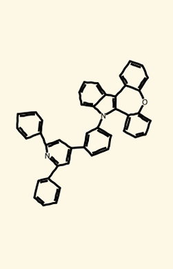 c1ccc(-c2cc(-c3cccc(-n4c5c(c6ccccc64)-c4ccccc4Oc4ccccc4-5)c3)cc(-c3ccccc3)n2)cc1